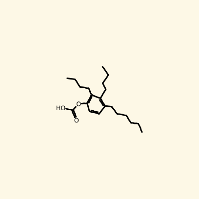 CCCCCCc1ccc(OC(=O)O)c(CCCC)c1CCCC